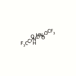 O=C(NC1CC2CC1CC2NC(=O)c1ccc(C(F)(F)F)cc1)c1ccc(C(F)(F)F)cc1